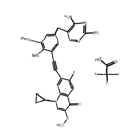 COc1cc(Cc2cnc(N)nc2N)cc(C#Cc2cc3c(cc2F)c(=O)c(OC(=O)O)cn3C2CC2)c1OC.O=C(O)C(F)(F)F